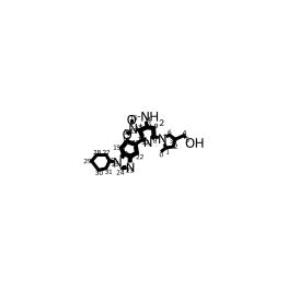 CC1CC(CO)CN1c1cc(N)c([N+](=O)[O-])c(-c2ccc3c(c2)ncn3C2CCCCC2)n1